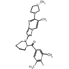 Cc1cn2nc([C@@H]3CCCCN3C(=O)c3cc(C)c(F)c(C)c3)cc2nc1N1CC[C@H](C)C1